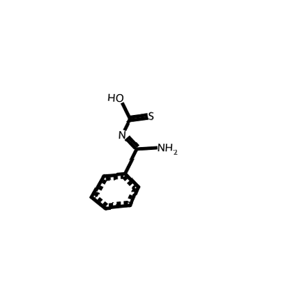 NC(=NC(O)=S)c1ccccc1